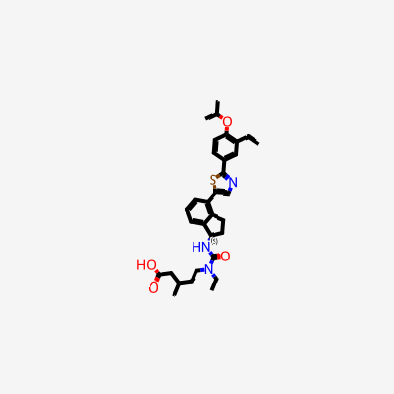 CCc1cc(-c2ncc(-c3cccc4c3CC[C@@H]4NC(=O)N(CC)CCC(C)CC(=O)O)s2)ccc1OC(C)C